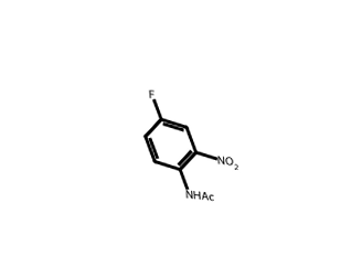 CC(=O)Nc1ccc(F)cc1[N+](=O)[O-]